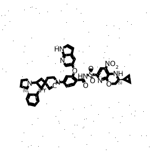 CC(C)c1ccccc1[C@@H]1CCCN1C1CC2(CCN(c3ccc(C(=O)NS(=O)(=O)c4cc([N+](=O)[O-])c5c(n4)OC[C@H](C4CC4)N5)c(Oc4cnc5[nH]ccc5c4)c3)CC2)C1